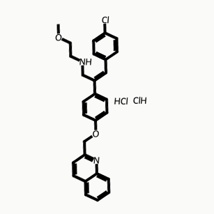 COCCNCC(=Cc1ccc(Cl)cc1)c1ccc(OCc2ccc3ccccc3n2)cc1.Cl.Cl